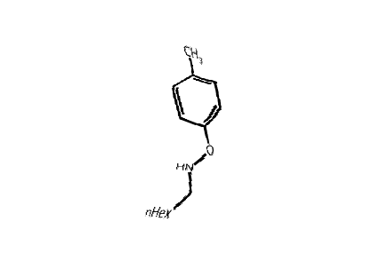 CCCCCCCNOc1ccc(C)cc1